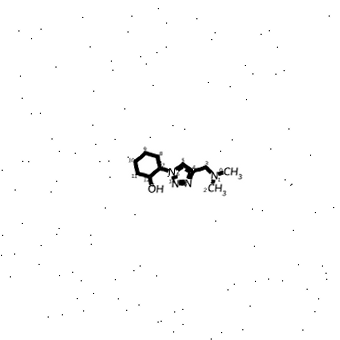 CN(C)Cc1cn(C2CCCCC2O)nn1